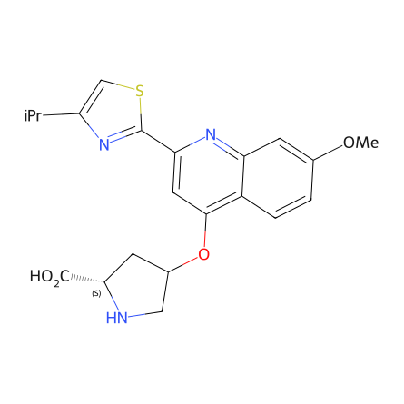 COc1ccc2c(OC3CN[C@H](C(=O)O)C3)cc(-c3nc(C(C)C)cs3)nc2c1